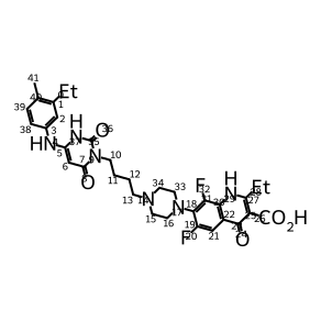 CCc1cc(Nc2cc(=O)n(CCCCN3CCN(c4c(F)cc5c(=O)c(C(=O)O)c(CC)[nH]c5c4F)CC3)c(=O)[nH]2)ccc1C